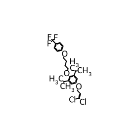 CC(C)c1cc(OCC=C(Cl)Cl)cc(C(C)C)c1OCCCCOc1ccc(C(F)(F)F)cc1